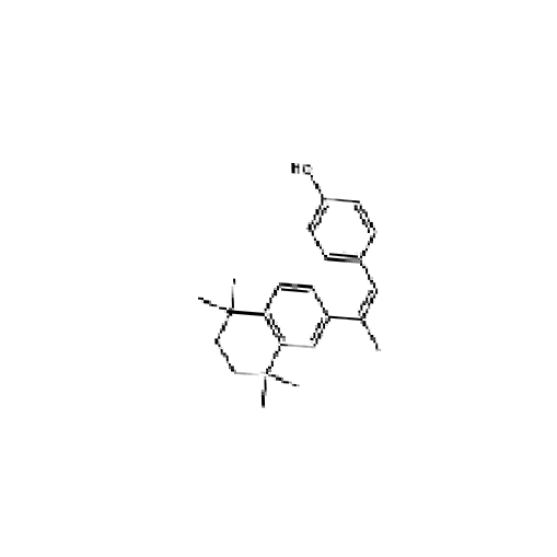 C/C(=C/c1ccc(O)cc1)c1ccc2c(c1)C(C)(C)CCC2(C)C